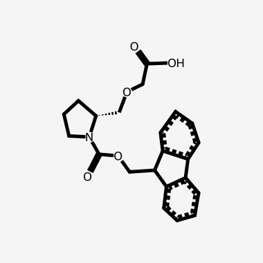 O=C(O)COC[C@H]1CCCN1C(=O)OCC1c2ccccc2-c2ccccc21